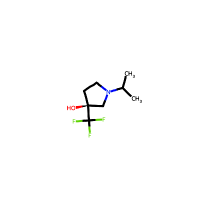 CC(C)N1CC[C@@](O)(C(F)(F)F)C1